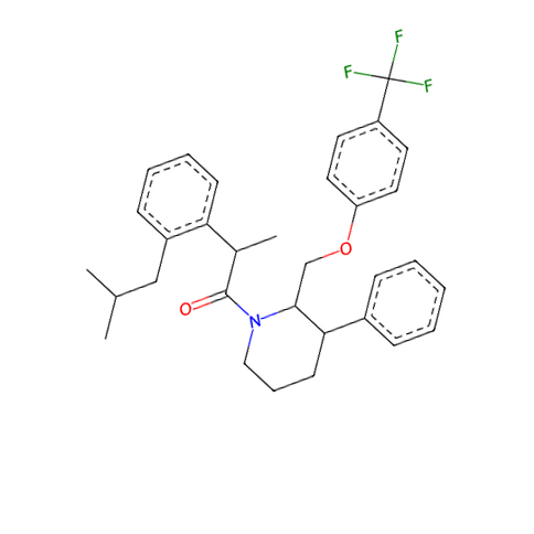 CC(C)Cc1ccccc1C(C)C(=O)N1CCCC(c2ccccc2)C1COc1ccc(C(F)(F)F)cc1